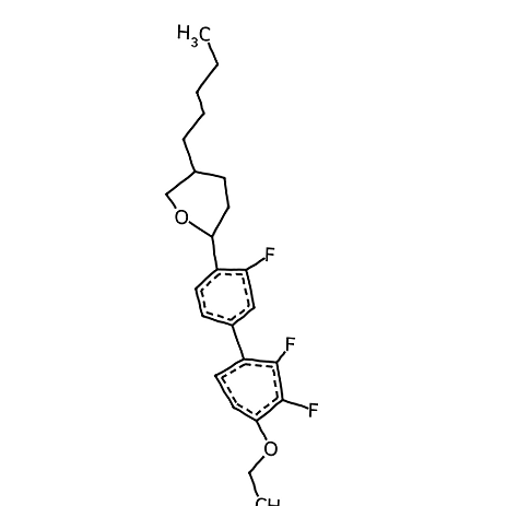 CCCCCC1CCC(c2ccc(-c3ccc(OCC)c(F)c3F)cc2F)OC1